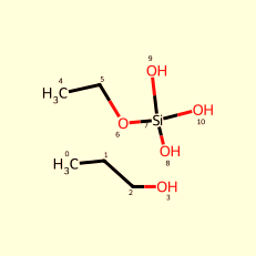 CCCO.CCO[Si](O)(O)O